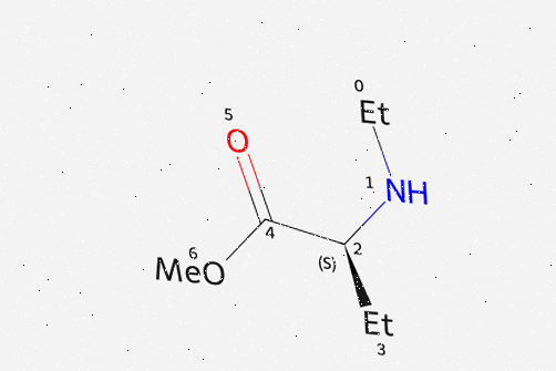 CCN[C@@H](CC)C(=O)OC